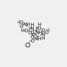 C[C@@H](O)[C@H](NC(=O)[C@H](CCNC(=O)OC(C)(C)C)NC(=O)OCc1ccccc1)C(=O)N[C@@H](CCNC(=O)OC(C)(C)C)C(=O)O